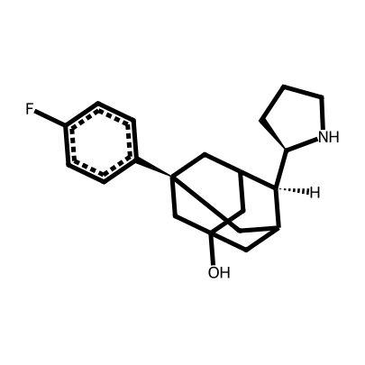 OC12CC3C[C@](c4ccc(F)cc4)(CC(C1)[C@@H]3[C@H]1CCCN1)C2